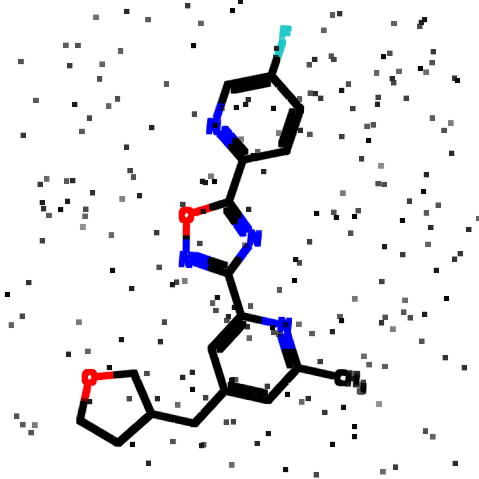 Cc1cc(CC2CCOC2)cc(-c2noc(-c3ccc(F)cn3)n2)n1